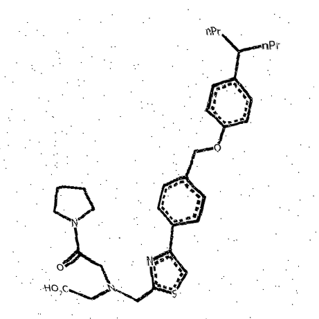 CCCC(CCC)c1ccc(OCc2ccc(-c3csc(CN(CC(=O)O)CC(=O)N4CCCC4)n3)cc2)cc1